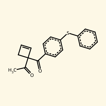 CC(=O)C1(C(=O)c2ccc(Sc3ccccc3)cc2)C=CC1